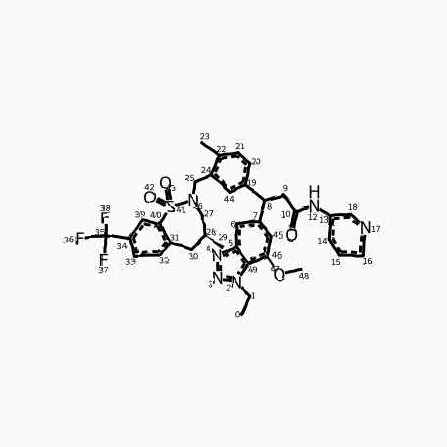 CCn1nnc2cc(C(CC(=O)Nc3cccnc3)c3ccc(C)c(CN4C[C@@H](C)Cc5ccc(C(F)(F)F)cc5S4(=O)=O)c3)cc(OC)c21